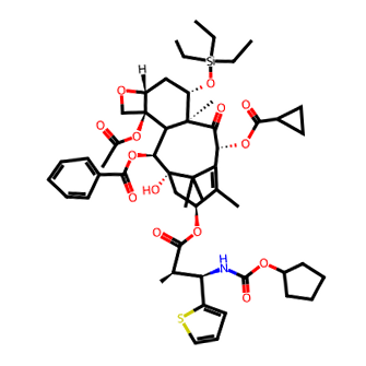 CC[Si](CC)(CC)O[C@H]1C[C@H]2OC[C@@]2(OC(C)=O)C2[C@H](OC(=O)c3ccccc3)[C@]3(O)C[C@H](OC(=O)[C@H](C)[C@@H](NC(=O)OC4CCCC4)c4cccs4)C(C)=C([C@@H](OC(=O)C4CC4)C(=O)[C@@]21C)C3(C)C